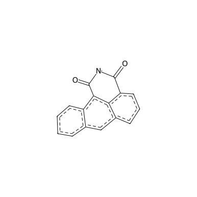 O=C1[N]C(=O)c2c3ccccc3cc3cccc1c23